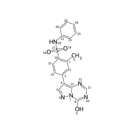 Cc1cc(-c2cnn3c(O)ncnc23)ccc1S(=O)(=O)Nc1ccccc1